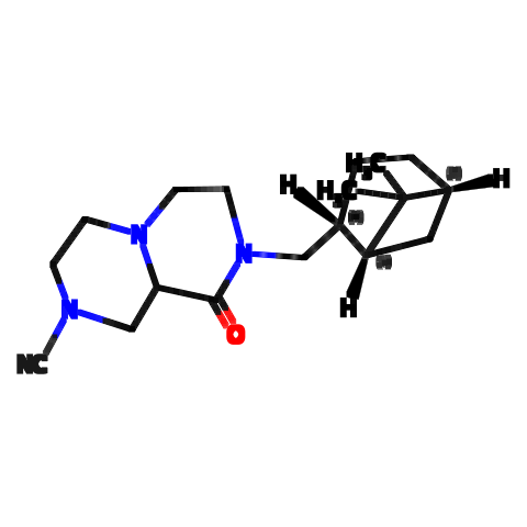 CC1(C)[C@@H]2CC[C@@H](CN3CCN4CCN(C#N)CC4C3=O)[C@H]1C2